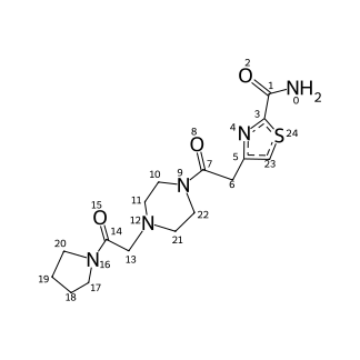 NC(=O)c1nc(CC(=O)N2CCN(CC(=O)N3CCCC3)CC2)cs1